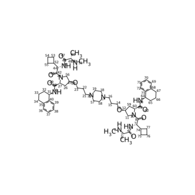 CN[C@@H](C)C(=O)N[C@H](C(=O)N1C[C@@H](OCCCN2CCN(CCCO[C@H]3C[C@@H](C(=O)N[C@@H]4CCCc5ccccc54)N(C(=O)[C@@H](NC(=O)[C@H](C)NC)C4CCC4)C3)CC2)C[C@H]1C(=O)N[C@@H]1CCCc2ccccc21)C1CCC1